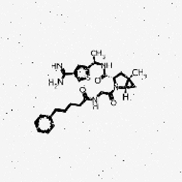 C[C@@H](NC(=O)[C@@H]1C[C@]2(C)C[C@@H]2N1C(=O)CNC(=O)CCCCc1ccccc1)c1cc(C(=N)N)cs1